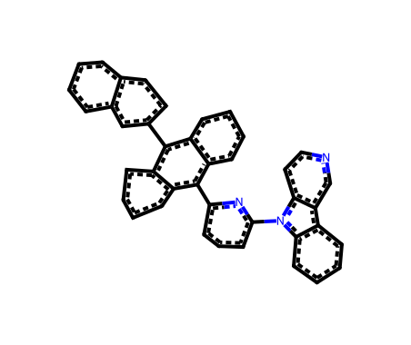 c1cc(-c2c3ccccc3c(-c3ccc4ccccc4c3)c3ccccc23)nc(-n2c3ccccc3c3cnccc32)c1